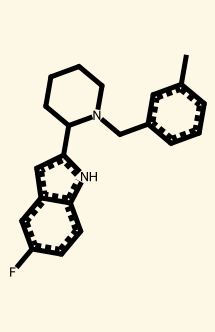 Cc1cccc(CN2CCCCC2c2cc3cc(F)ccc3[nH]2)c1